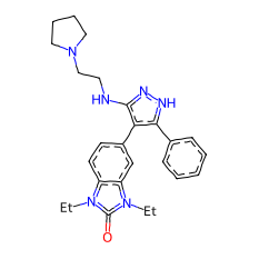 CCn1c(=O)n(CC)c2cc(-c3c(NCCN4CCCC4)n[nH]c3-c3ccccc3)ccc21